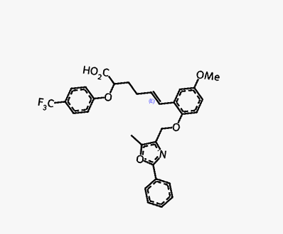 COc1ccc(OCc2nc(-c3ccccc3)oc2C)c(/C=C/CCC(Oc2ccc(C(F)(F)F)cc2)C(=O)O)c1